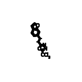 ClC(Cl)(Cl)c1nnc([CH][CH]c2ccc3ccoc3c2)o1